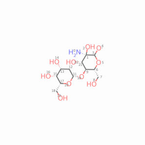 N[C@]1(O)C([O])O[C@H](CO)[C@@H](O[C@H]2C[C@@H](O)[C@@H](O)[C@@H](CO)O2)[C@@H]1O